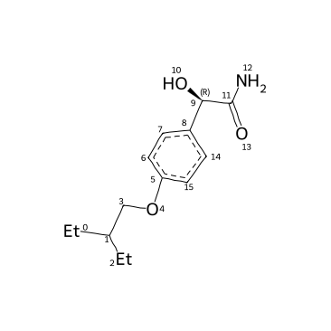 CCC(CC)COc1ccc([C@@H](O)C(N)=O)cc1